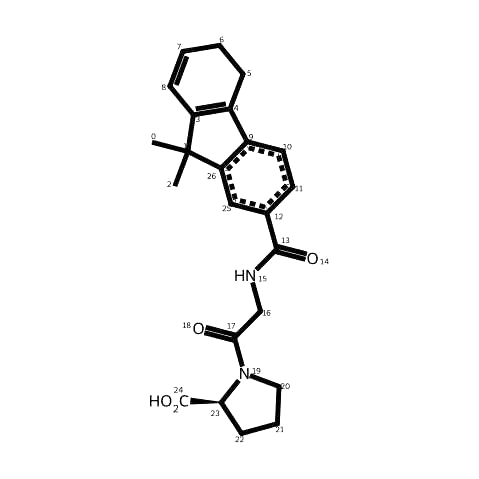 CC1(C)C2=C(CCC=C2)c2ccc(C(=O)NCC(=O)N3CCC[C@H]3C(=O)O)cc21